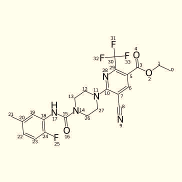 CCOC(=O)c1cc(C#N)c(N2CCN(C(=O)Nc3cc(C)ccc3F)CC2)nc1C(F)(F)F